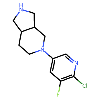 Fc1cc(N2CCC3CNCC3C2)cnc1Cl